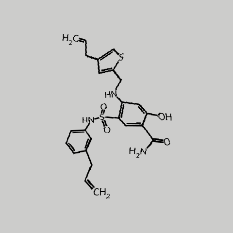 C=CCc1cccc(NS(=O)(=O)c2cc(C(N)=O)c(O)cc2NCc2cc(CC=C)cs2)c1